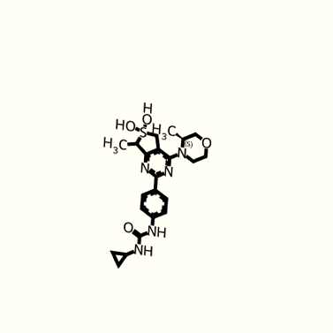 CC1c2nc(-c3ccc(NC(=O)NC4CC4)cc3)nc(N3CCOC[C@@H]3C)c2CS1(O)O